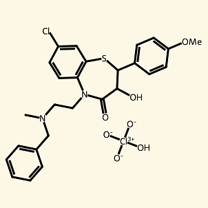 COc1ccc(C2Sc3cc(Cl)ccc3N(CCN(C)Cc3ccccc3)C(=O)C2O)cc1.[O-][Cl+3]([O-])([O-])O